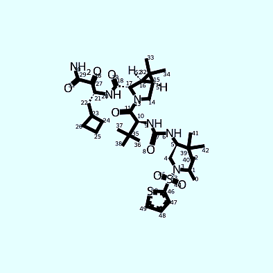 CC(C)N(C[C@@H](NC(=O)N[C@H](C(=O)N1C[C@H]2[C@@H]([C@H]1C(=O)N[C@H](CC1CCC1)C(=O)C(N)=O)C2(C)C)C(C)(C)C)C(C)(C)C)S(=O)(=O)c1cccs1